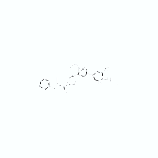 Nc1ncc(-c2cc3n(n2)CCO[C@@]32CCN(C(=O)NCc3ccccc3)C2)cc1C(F)(F)F